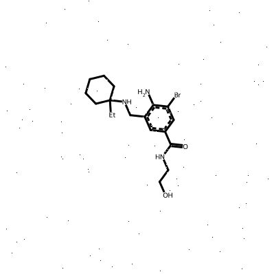 CCC1(NCc2cc(C(=O)NCCO)cc(Br)c2N)CCCCC1